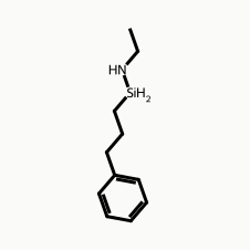 CCN[SiH2]CCCc1ccccc1